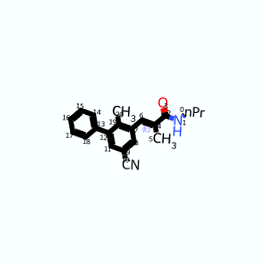 CCCNC(=O)/C(C)=C/c1cc(C#N)cc(-c2ccccc2)c1C